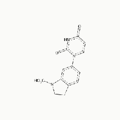 O=C(O)N1CCc2ccc(-n3ccc(=O)[nH]c3=O)cc21